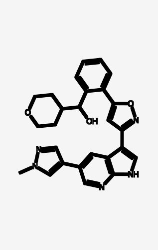 Cn1cc(-c2cnc3[nH]cc(-c4cc(-c5ccccc5C(O)C5CCOCC5)on4)c3c2)cn1